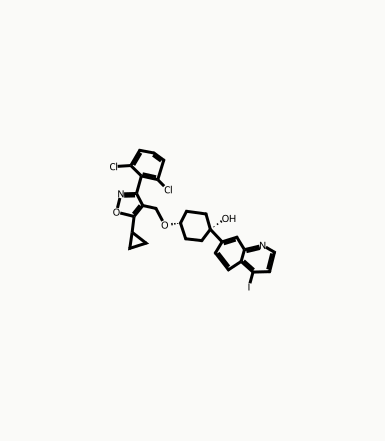 O[C@]1(c2ccc3c(I)ccnc3c2)CC[C@H](OCc2c(-c3c(Cl)cccc3Cl)noc2C2CC2)CC1